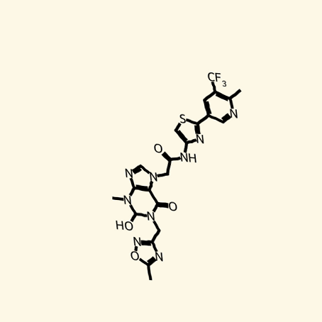 Cc1nc(CN2C(=O)c3c(ncn3CC(=O)Nc3csc(-c4cnc(C)c(C(F)(F)F)c4)n3)N(C)C2O)no1